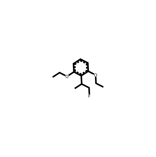 CCOc1cccc(OCC)c1[C](C)CF